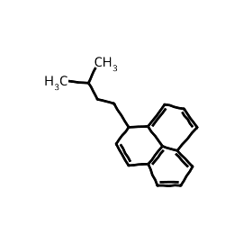 CC(C)CCC1C=Cc2cccc3cccc1c23